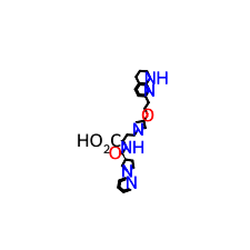 O=C(N[C@@H](CCN1CC(OCCc2ccc3c(n2)NCCC3)C1)C(=O)O)[C@H]1CCN(c2ccccn2)C1